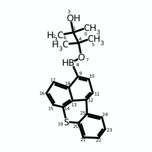 CC(C)(O)C(C)(C)OBc1ccc2c3c(cccc13)Sc1ccccc1-2